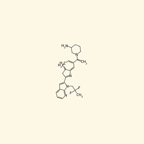 C=C1CC(c2cc3cccnc3n2CC(C)(F)F)=N/C1=C/C(=C\C)C(=C)N1CCCC(N)C1